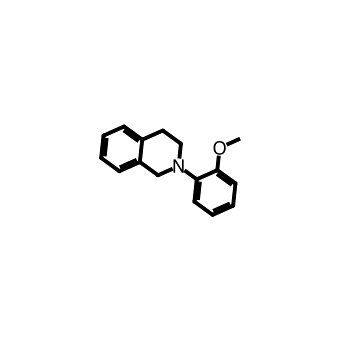 COc1ccccc1N1CCc2ccccc2C1